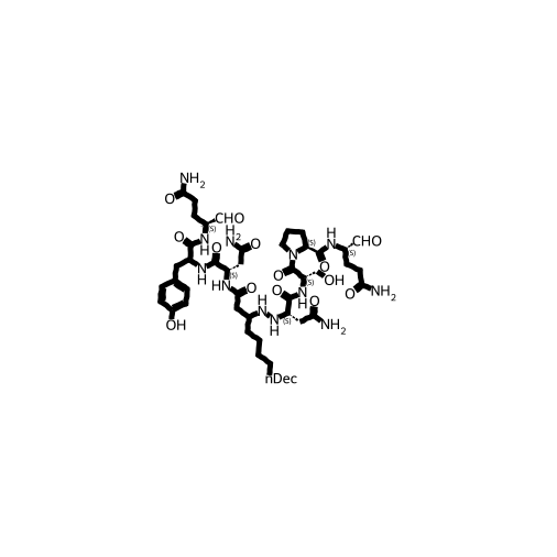 CCCCCCCCCCCCCCC(CC(=O)N[C@@H](CC(N)=O)C(=O)NC(Cc1ccc(O)cc1)C(=O)N[C@H](C=O)CCC(N)=O)NN[C@@H](CC(N)=O)C(=O)N[C@@H](CO)C(=O)N1CCC[C@H]1C(=O)N[C@H](C=O)CCC(N)=O